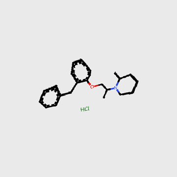 CC1CCCCN1C(C)COc1ccccc1Cc1ccccc1.Cl